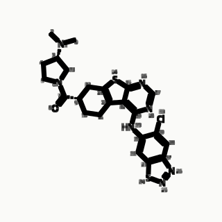 CN(C)[C@H]1CCN(C(=O)[C@H]2CCc3c(sc4ncnc(Nc5cc6snnc6cc5Cl)c34)C2)C1